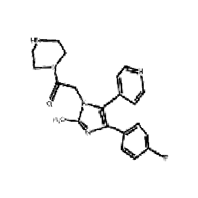 Cc1nc(-c2ccc(F)cc2)c(-c2ccncc2)n1CC(=O)N1CCNCC1